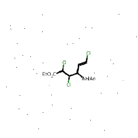 CCOC(=O)C(Cl)C(Cl)C(C=CCl)NC(C)=O